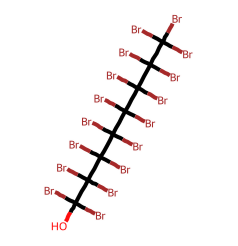 OC(Br)(Br)C(Br)(Br)C(Br)(Br)C(Br)(Br)C(Br)(Br)C(Br)(Br)C(Br)(Br)C(Br)(Br)Br